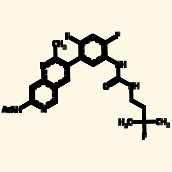 CC(=O)Nc1cc2nc(C)c(-c3cc(NC(=O)NCCC(C)(C)F)c(F)cc3F)cc2cn1